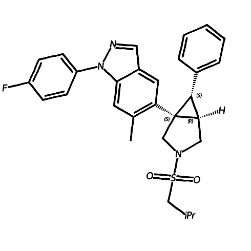 Cc1cc2c(cnn2-c2ccc(F)cc2)cc1[C@@]12CN(S(=O)(=O)CC(C)C)C[C@@H]1[C@H]2c1ccccc1